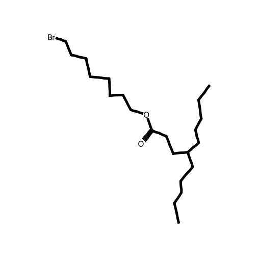 CCCCCC(CCCCC)CCC(=O)OCCCCCCCCBr